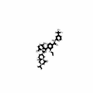 CCOc1cc(C(=O)Nc2cc(C(F)(F)F)ccn2)ccc1-c1nc([C@@H]2CC[C@H]3CN(C(C)C)CC(=O)N3C2)n2c(Cl)cnc(N)c12